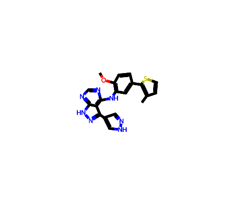 COc1ccc(-c2sccc2C)cc1Nc1ncnc2[nH]nc(-c3cn[nH]c3)c12